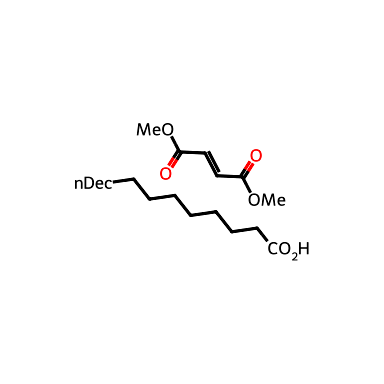 CCCCCCCCCCCCCCCCCC(=O)O.COC(=O)/C=C/C(=O)OC